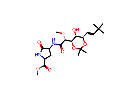 COC(=O)C1CC(NC(=O)[C@H](OC)[C@@H]2OC(C)(C)O[C@H](/C=C/C(C)(C)C)[C@@H]2O)C(=O)N1